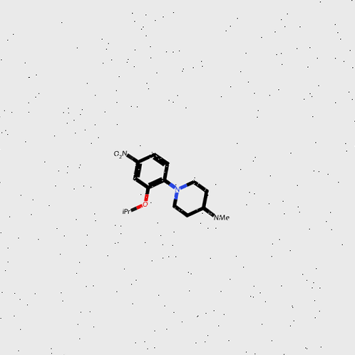 CNC1CCN(c2ccc([N+](=O)[O-])cc2OC(C)C)CC1